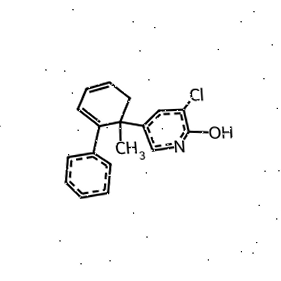 CC1(c2cnc(O)c(Cl)c2)CC=CC=C1c1ccccc1